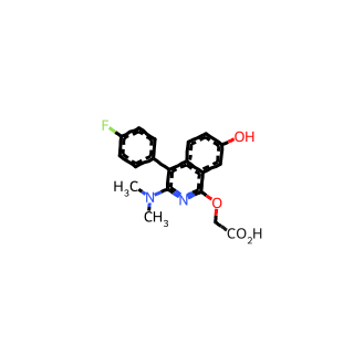 CN(C)c1nc(OCC(=O)O)c2cc(O)ccc2c1-c1ccc(F)cc1